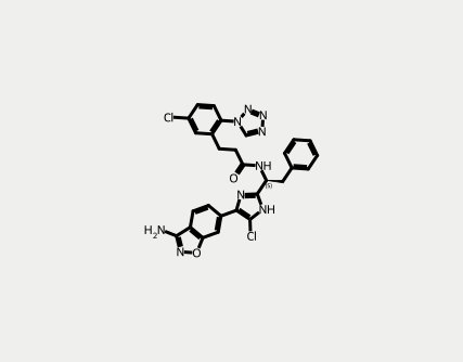 Nc1noc2cc(-c3nc([C@H](Cc4ccccc4)NC(=O)CCc4cc(Cl)ccc4-n4cnnn4)[nH]c3Cl)ccc12